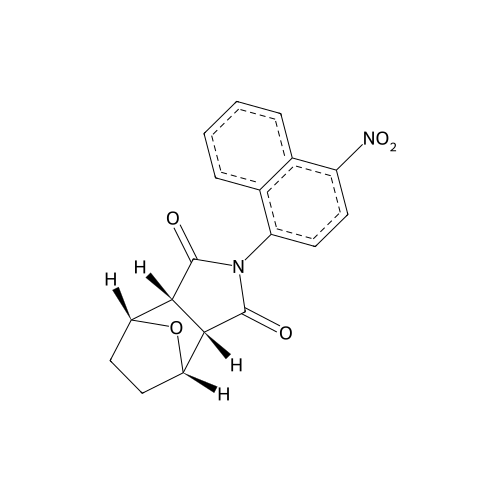 O=C1[C@@H]2[C@H](C(=O)N1c1ccc([N+](=O)[O-])c3ccccc13)[C@@H]1CC[C@H]2O1